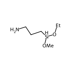 CCO[SiH](CCCN)OC